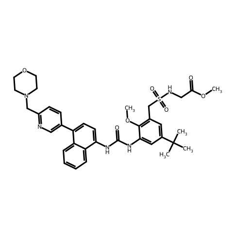 COC(=O)CNS(=O)(=O)Cc1cc(C(C)(C)C)cc(NC(=O)Nc2ccc(-c3ccc(CN4CCOCC4)nc3)c3ccccc23)c1OC